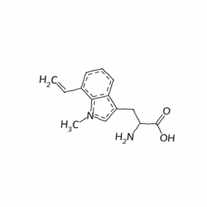 C=Cc1cccc2c(CC(N)C(=O)O)cn(C)c12